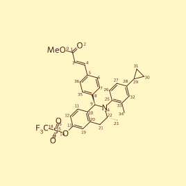 COC(=O)/C=C/c1ccc([C@@H]2c3ccc(OS(=O)(=O)C(F)(F)F)cc3C[C@@H](C)N2c2ccc(C3CC3)cc2C)cc1